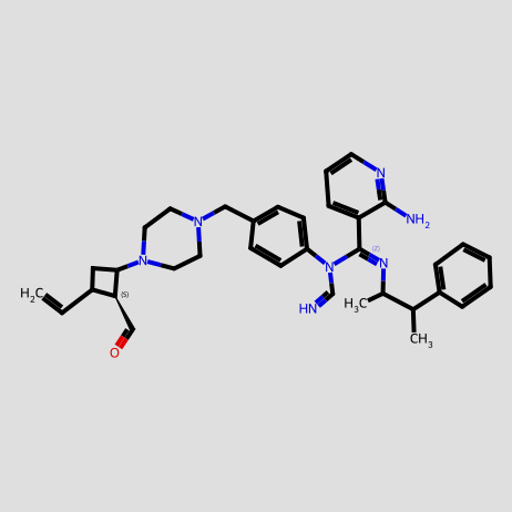 C=CC1CC(N2CCN(Cc3ccc(N(C=N)/C(=N\C(C)C(C)c4ccccc4)c4cccnc4N)cc3)CC2)[C@H]1C=O